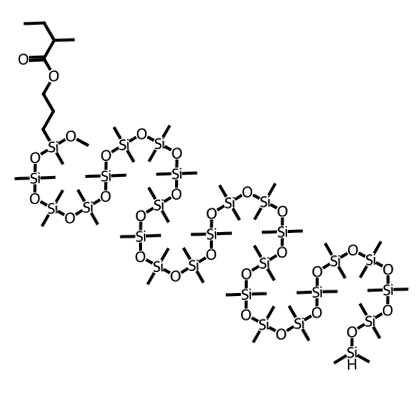 CCC(C)C(=O)OCCC[Si](C)(OC)O[Si](C)(C)O[Si](C)(C)O[Si](C)(C)O[Si](C)(C)O[Si](C)(C)O[Si](C)(C)O[Si](C)(C)O[Si](C)(C)O[Si](C)(C)O[Si](C)(C)O[Si](C)(C)O[Si](C)(C)O[Si](C)(C)O[Si](C)(C)O[Si](C)(C)O[Si](C)(C)O[Si](C)(C)O[Si](C)(C)O[Si](C)(C)O[Si](C)(C)O[Si](C)(C)O[Si](C)(C)O[Si](C)(C)O[Si](C)(C)O[SiH](C)C